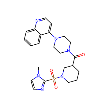 Cn1ccnc1S(=O)(=O)N1CCCC(C(=O)N2CCN(c3ccnc4ccccc34)CC2)C1